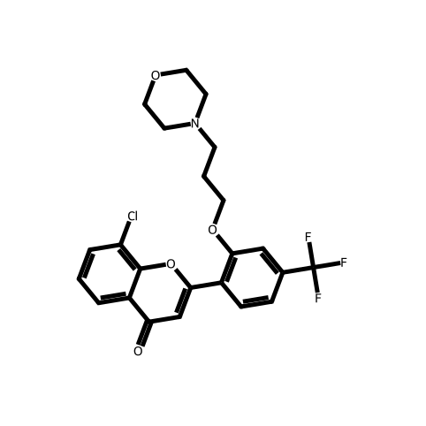 O=c1cc(-c2ccc(C(F)(F)F)cc2OCCCN2CCOCC2)oc2c(Cl)cccc12